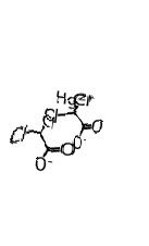 O=C([O-])C(Cl)Cl.O=C([O-])C(Cl)Cl.[Hg+2]